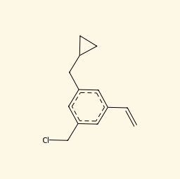 C=Cc1cc(CCl)cc(CC2CC2)c1